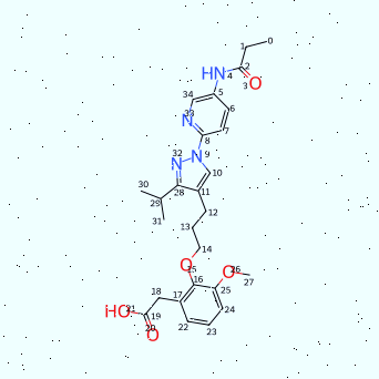 CCC(=O)Nc1ccc(-n2cc(CCCOc3c(CC(=O)O)cccc3OC)c(C(C)C)n2)nc1